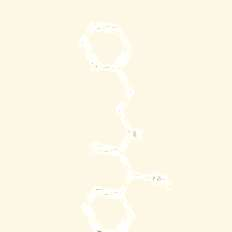 NC(C(=O)NCCc1ccccn1)c1ccccc1